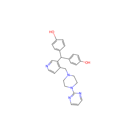 Oc1ccc(C(c2ccc(O)cc2)c2cnccc2CN2CCN(c3ncccn3)CC2)cc1